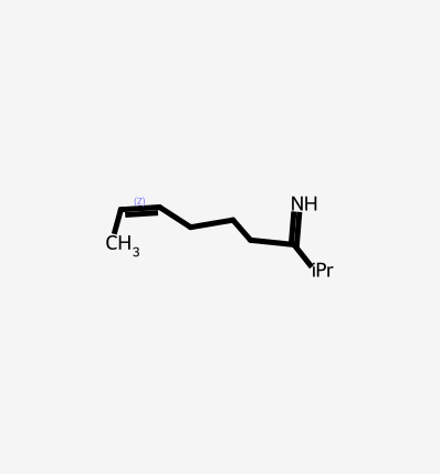 C/C=C\CCCC(=N)C(C)C